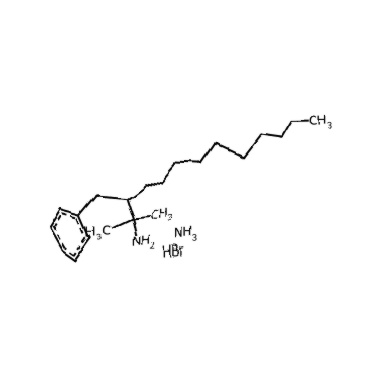 Br.CCCCCCCCCCC(Cc1ccccc1)C(C)(C)N.N